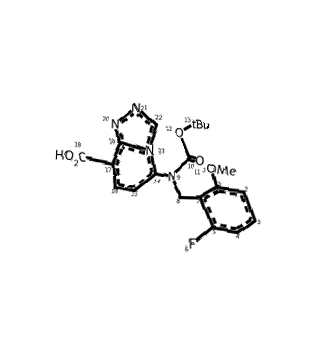 COc1cccc(F)c1CN(C(=O)OC(C)(C)C)c1ccc(C(=O)O)c2nncn12